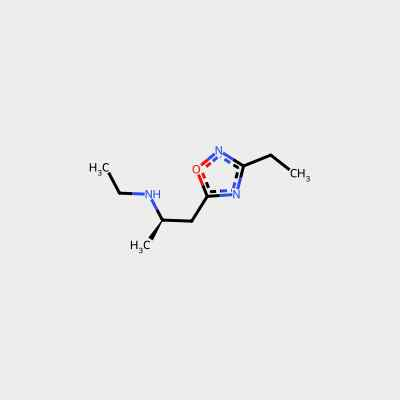 CCN[C@H](C)Cc1nc(CC)no1